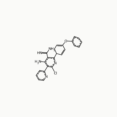 N=C(N)c1c(C2C=CC(Oc3ccccc3)=CC2)nc(Cl)c(-c2ccccn2)c1N